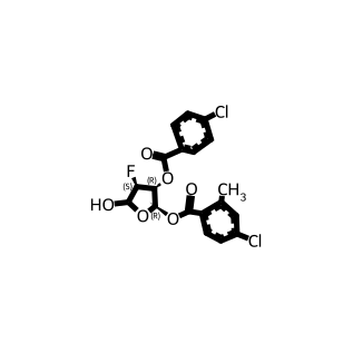 Cc1cc(Cl)ccc1C(=O)O[C@H]1OC(O)[C@@H](F)[C@@H]1OC(=O)c1ccc(Cl)cc1